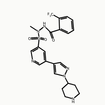 CN(NC(=O)c1ccccc1C(F)(F)F)S(=O)(=O)c1cncc(-c2cnn(C3CCNCC3)c2)c1